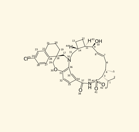 CC(C)[C@H]1[C@@H](C)C/C=C/[C@H](O)[C@@H]2CC[C@H]2CN2C[C@@]3(CCCc4cc(Cl)ccc43)COc3ccc(cc32)C(=O)NS1(=O)=O